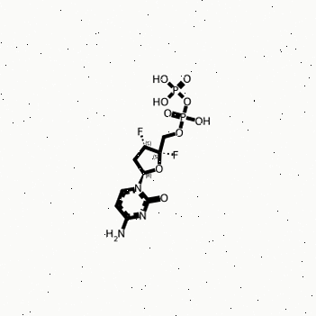 Nc1ccn([C@H]2C[C@H](F)[C@@](F)(COP(=O)(O)OP(=O)(O)O)O2)c(=O)n1